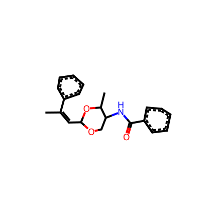 CC(=CC1OCC(NC(=O)c2ccccc2)C(C)O1)c1ccccc1